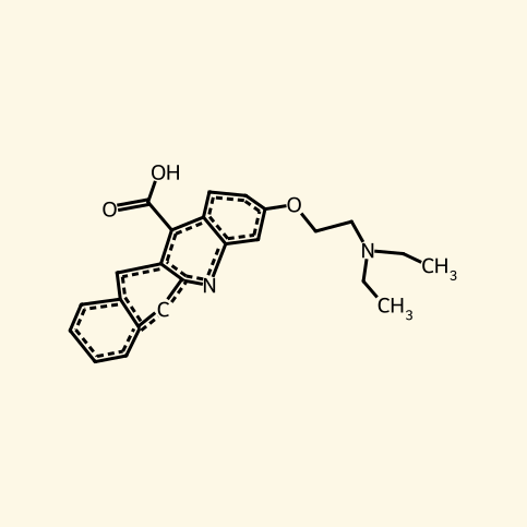 CCN(CC)CCOc1ccc2c(C(=O)O)c3cc4ccccc4cc3nc2c1